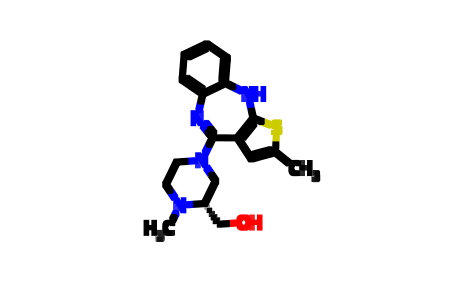 Cc1cc2c(s1)Nc1ccccc1N=C2N1CCN(C)[C@@H](CO)C1